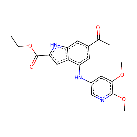 CCOC(=O)c1cc2c(Nc3cnc(OC)c(OC)c3)cc(C(C)=O)cc2[nH]1